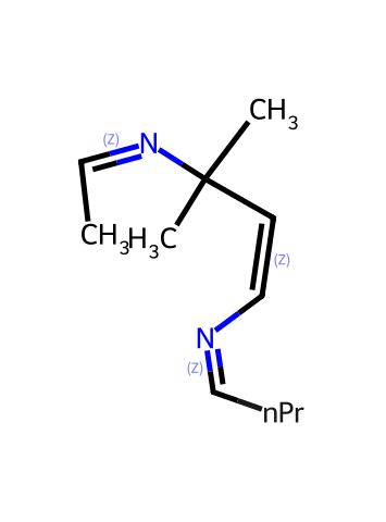 C/C=N\C(C)(C)/C=C\N=C/CCC